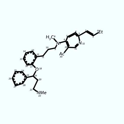 CC/C=C/C1=C=CC(N(C)CCCc2ccccc2OC(CCNC)c2ccccc2)=C(C(C)=O)C=N1